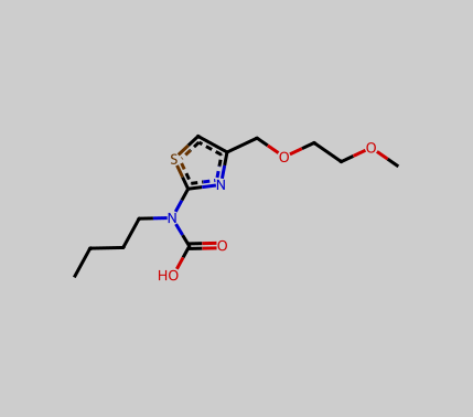 CCCCN(C(=O)O)c1nc(COCCOC)cs1